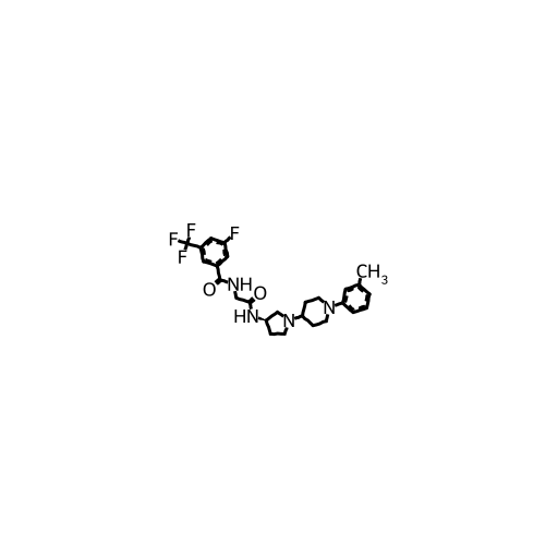 Cc1cccc(N2CCC(N3CC[C@@H](NC(=O)CNC(=O)c4cc(F)cc(C(F)(F)F)c4)C3)CC2)c1